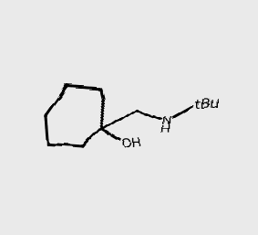 CC(C)(C)NCC1(O)CCCCC1